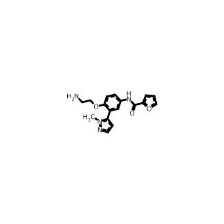 Cn1nccc1-c1cc(NC(=O)c2ccco2)ccc1OCCN